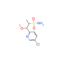 COC(c1ccc(Cl)cn1)C(C)S(N)(=O)=O